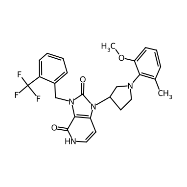 COc1cccc(C)c1N1CCC(n2c(=O)n(Cc3ccccc3C(F)(F)F)c3c(=O)[nH]ccc32)C1